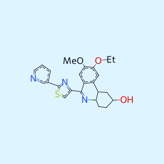 CCOc1cc2c(cc1OC)C(c1csc(-c3cccnc3)n1)=NC1CCC(O)CC21